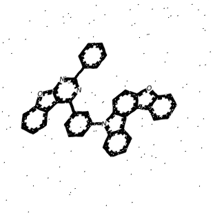 c1ccc(-c2nc(-c3cccc(-n4c5ccccc5c5c6c(ccc54)oc4ccccc46)c3)c3c(n2)oc2ccccc23)cc1